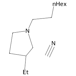 C#N.CCCCCCCCN1CCC(CC)C1